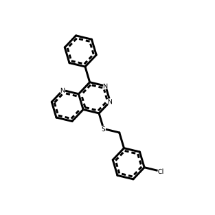 Clc1cccc(CSc2nnc(-c3ccccc3)c3ncccc23)c1